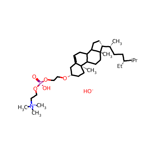 CC[C@H](CC[C@@H](C)[C@H]1CCC2C3CC=C4C[C@@H](OCCOP(=O)(O)OCC[N+](C)(C)C)CC[C@]4(C)C3CC[C@@]21C)C(C)C.[OH-]